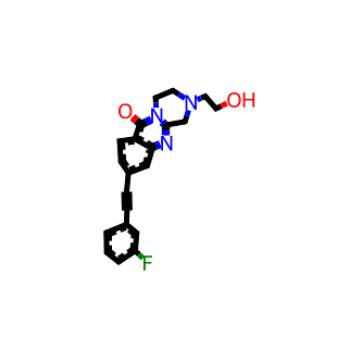 O=c1c2ccc(C#Cc3cccc(F)c3)cc2nc2n1CCN(CCO)C2